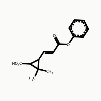 CC1(C)C(C=CC(=O)Oc2ccccc2)C1C(=O)O